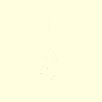 Cc1cc2c(-c3cnn4cc(N5CCC(N6CCN(C)CC6)CC5)cnc34)ccnc2cc1Cl